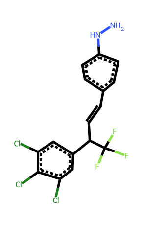 NNc1ccc(/C=C/C(c2cc(Cl)c(Cl)c(Cl)c2)C(F)(F)F)cc1